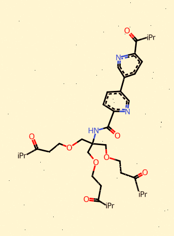 CC(C)C(=O)CCOCC(COCCC(=O)C(C)C)(COCCC(=O)C(C)C)NC(=O)c1ccc(-c2ccc(C(=O)C(C)C)nc2)cn1